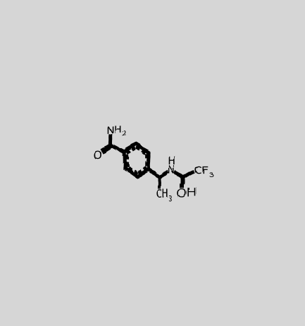 CC(NC(O)C(F)(F)F)c1ccc(C(N)=O)cc1